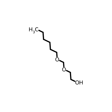 CCCCCCOCOCCO